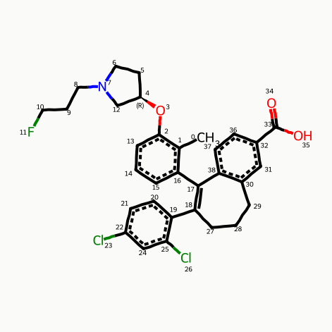 Cc1c(O[C@@H]2CCN(CCCF)C2)cccc1C1=C(c2ccc(Cl)cc2Cl)CCCc2cc(C(=O)O)ccc21